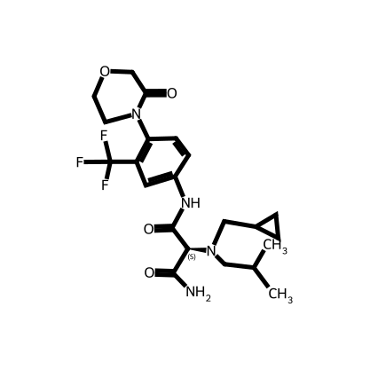 CC(C)CN(CC1CC1)[C@@H](C(N)=O)C(=O)Nc1ccc(N2CCOCC2=O)c(C(F)(F)F)c1